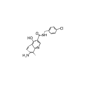 Cc1c(N)ccc2c(O)c(C(=O)NCc3ccc(Cl)cc3)cnc12